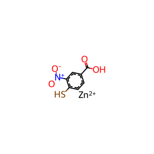 O=C(O)c1ccc(S)c([N+](=O)[O-])c1.[Zn+2]